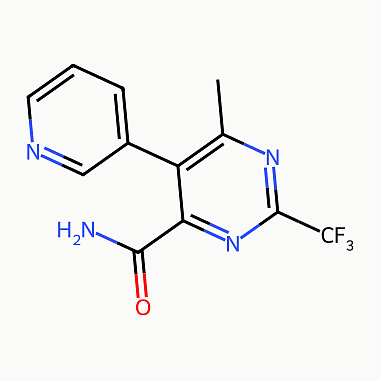 Cc1nc(C(F)(F)F)nc(C(N)=O)c1-c1cccnc1